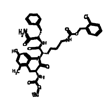 Cc1cc(O)cc2c1C[C@H](NC(=O)OC(C)(C)C)C(=O)N2[C@@H](CCCCNC(=O)OCc1ccccc1Cl)C(=O)N[C@@H](Cc1ccccc1)C(N)=O